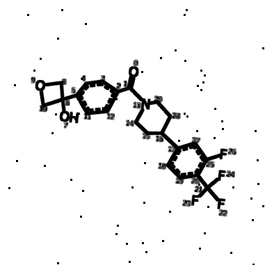 O=C(c1ccc(C2(O)COC2)cc1)N1CCC(c2ccc(C(F)(F)F)c(F)c2)CC1